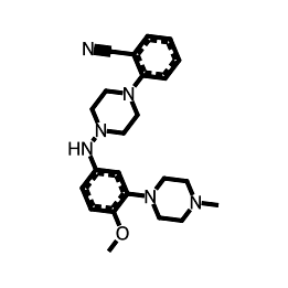 COc1ccc(NN2CCN(c3ccccc3C#N)CC2)cc1N1CCN(C)CC1